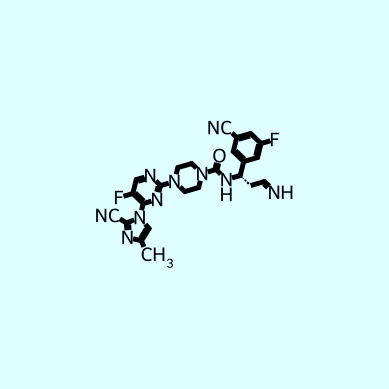 Cc1cn(-c2nc(N3CCN(C(=O)N[C@@H](CC=N)c4cc(F)cc(C#N)c4)CC3)ncc2F)c(C#N)n1